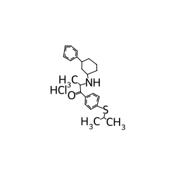 CC(C)Sc1ccc(C(=O)C(C)NC2CCCC(c3ccccc3)C2)cc1.Cl